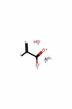 C=C(C)C(=O)[O-].[Al+2].[OH-]